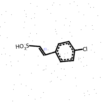 O=S(=O)(O)/C=C/c1ccc(Cl)cc1